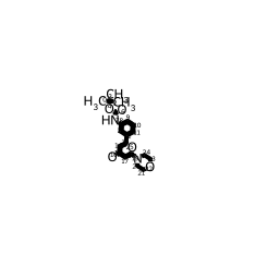 CC(C)(C)OC(=O)Nc1cccc(-c2cc(=O)cc(N3CCOCC3)o2)c1